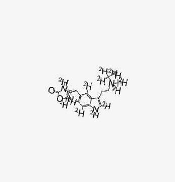 [2H]c1c(C[C@@H]2N([2H])C(=O)OC2([2H])[2H])c([2H])c2c(CCN(C([2H])([2H])[2H])C([2H])([2H])[2H])c([2H])n([2H])c2c1[2H]